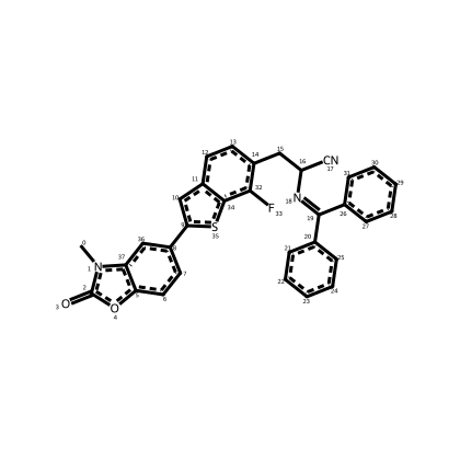 Cn1c(=O)oc2ccc(-c3cc4ccc(CC(C#N)N=C(c5ccccc5)c5ccccc5)c(F)c4s3)cc21